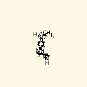 CC(C)(C)OC(=O)N1CCN(c2nccc(-c3cc[nH]n3)n2)CC1